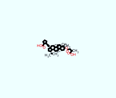 C=C(CC(=O)O[C@H]1CC[C@@]2(C)C(CC[C@]3(C)C2CCC2C4[C@H](C(=C)C)CC[C@]4(C#CC4=C(C(=O)O)CCC4)CC[C@]23C)C1(C)C)C(=O)O